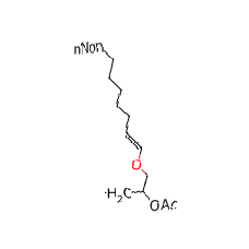 [CH2]C(COC=CCCCCCCCCCCCCCC)OC(C)=O